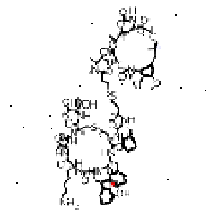 COc1cc2cc(c1Cl)N(C)C(=O)C[C@H](OC(=O)[C@H](C)N(C)C(=O)CCSSCCC(=O)N[C@H](Cc1ccccc1)C(=O)N[C@H]1CSSC[C@@H](C(=O)N[C@H](C(=O)O)[C@@H](C)O)NC(=O)[C@H]([C@@H](C)O)NC(=O)[C@H](CCCCCN)NC(=O)[C@@H](Cc3c[nH]c4ccccc34)NC(=O)[C@H](Cc3ccc(O)cc3)NC1=O)C(C)(C)OC(C)[C@@H]1C[C@@](O)(NC(=O)O1)[C@H](OC)CC/C=C(\C)C2